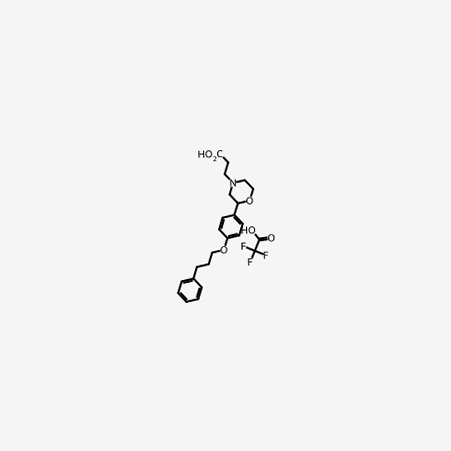 O=C(O)C(F)(F)F.O=C(O)CCN1CCOC(c2ccc(OCCCc3ccccc3)cc2)C1